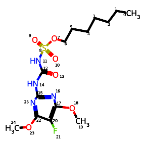 CCCCCCCOS(=O)(=O)NC(=O)Nc1nc(OC)c(F)c(OC)n1